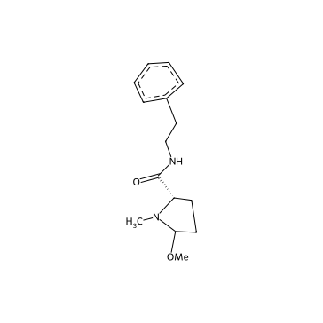 COC1CC[C@@H](C(=O)NCCc2ccccc2)N1C